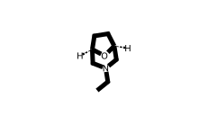 CCN1C[C@H]2CC[C@@H](C1)O2